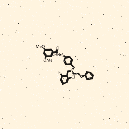 COc1cc(OC)cc(C(=O)NSc2ccc(CN(CCSc3ccccc3)Cc3c(F)cccc3Cl)cc2)c1